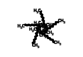 C=C[Si]1(CCCCCCCCCC)O[Si](C=C)(CCCCCCCCCC)O[Si](C=C)(CCCCCCCCCC)O[Si](C=C)(CCCCCCCCCC)O[Si](C=C)(CCCCCCCCCC)O1